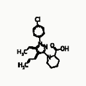 C=C/C=c1/c(N2CCCCC2C(=O)O)nn(-c2ccc(Cl)cc2)/c1=C/C